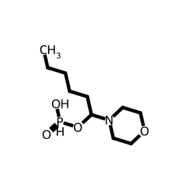 CCCCCC(O[PH](=O)O)N1CCOCC1